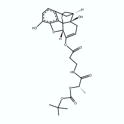 C[C@H](OC(=O)OC(C)(C)C)C(=O)NCCC(=O)OC1=CC[C@@]2(O)[C@@H]3CCCC24c2c(ccc(O)c2O[C@@H]14)C3